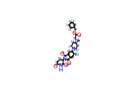 CN(CC(=O)OCc1ccccc1)C1CCN(c2cc3c(cc2F)C(=O)N(C2CCC(=O)NC2=O)C3=O)CC1